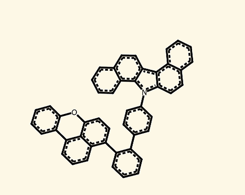 c1ccc2c(c1)Oc1ccc(-c3ccccc3-c3ccc(-n4c5ccc6ccccc6c5c5ccc6ccccc6c54)cc3)c3cccc-2c13